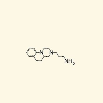 NCCCN1CCN2c3ccccc3CCC2C1